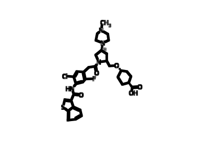 CN1CCN([C@H]2CC(CO[C@H]3CC[C@H](C(=O)O)CC3)N(C(=O)Cc3cc(Cl)c(NC(=O)c4csc5ccccc45)cc3F)C2)CC1